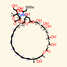 CNCC(=O)N[C@@H]1[C@H](O)[C@@H](O[C@H]2/C=C/C=C/C=C/C=C/C=C/C=C/C=C/[C@H](C)[C@@H](O)[C@@H](C)[C@H](C)OC(=O)C[C@H](O)C[C@H](O)CC[C@@H](O)[C@H](O)C[C@H](O)C[C@]3(O)C[C@H](O)[C@@H](C(=O)NCC(O)CO)[C@H](C2)O3)O[C@@H](C)[C@H]1O